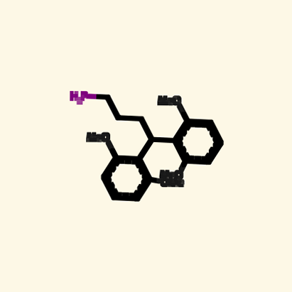 COc1cccc(OC)c1C(CCCP)c1c(OC)cccc1OC